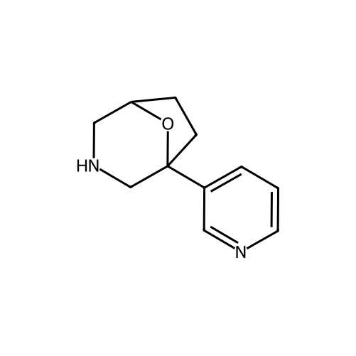 c1cncc(C23CCC(CNC2)O3)c1